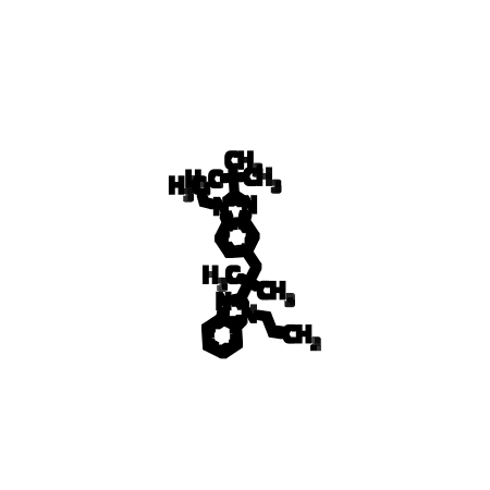 C=CCn1c(C(C)(C)Cc2ccc3c(c2)nc(C(C)(C)C)n3CC)nc2ccccc21